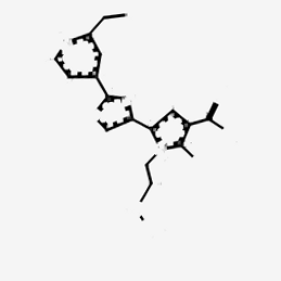 CCc1cc(-c2nc(-c3cc(C(=O)O)c(C)n3CCOC)cs2)ccn1